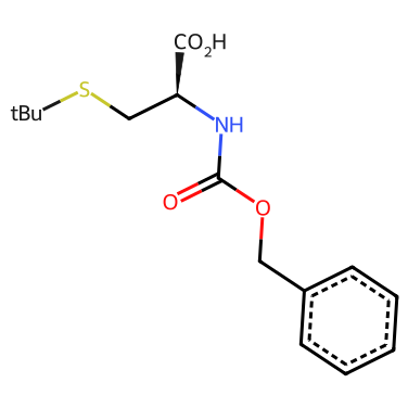 CC(C)(C)SC[C@H](NC(=O)OCc1ccccc1)C(=O)O